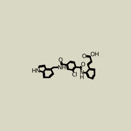 O=C(O)C=Cc1ccccc1NC(=O)c1ccc(C(=O)NCc2cccc3[nH]ccc23)cc1Cl